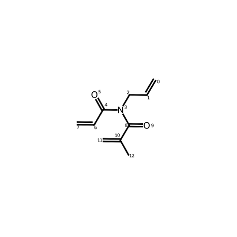 C=CCN(C(=O)C=C)C(=O)C(=C)C